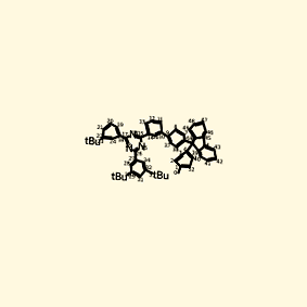 Cc1ccc(C2(c3ccc(-c4cccc(-c5nc(-c6cccc(C(C)(C)C)c6)nc(-c6cc(C(C)(C)C)cc(C(C)(C)C)c6)n5)c4)cc3)c3ccccc3-c3ccccc32)cc1